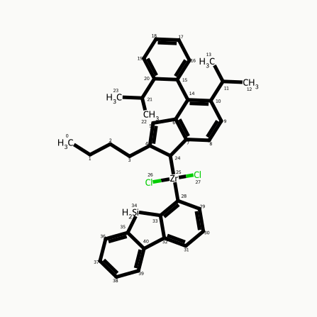 CCCCC1=Cc2c(ccc(C(C)C)c2-c2ccccc2C(C)C)[CH]1[Zr]([Cl])([Cl])[c]1cccc2c1[SiH2]c1ccccc1-2